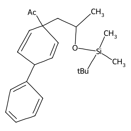 CC(=O)C1(CC(C)O[Si](C)(C)C(C)(C)C)C=CC(c2ccccc2)C=C1